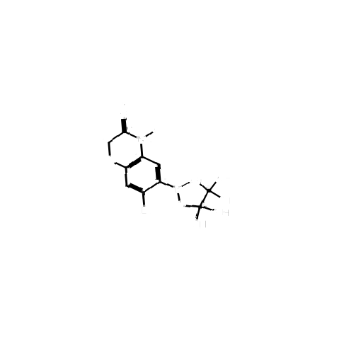 CCc1cc2c(cc1B1OC(C)(C)C(C)(C)O1)N(C)C(=O)CO2